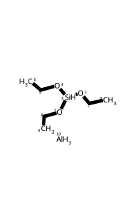 CCO[SiH](OCC)OCC.[AlH3]